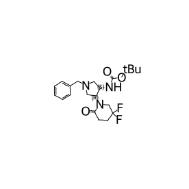 CC(C)(C)OC(=O)N[C@H]1CN(Cc2ccccc2)C[C@H]1N1CC(F)(F)CCC1=O